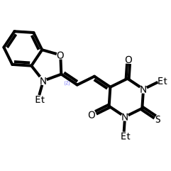 CCN1C(=O)C(=C/C=C2\Oc3ccccc3N2CC)C(=O)N(CC)C1=S